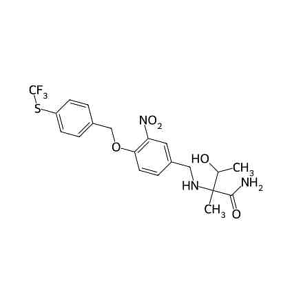 CC(O)C(C)(NCc1ccc(OCc2ccc(SC(F)(F)F)cc2)c([N+](=O)[O-])c1)C(N)=O